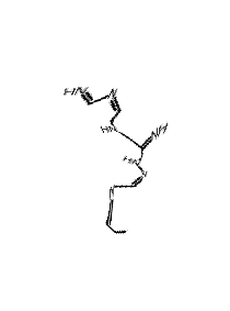 C/C=N\C=N/NC(=N)N/C=N\C=N